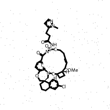 CO[C@H]1/C=C/CCC[S@@](=O)(NC(=O)CCc2ccnn2C)=NC(=O)c2ccc3c(c2)N(C[C@@H]2CC[C@H]21)C[C@@]1(CCCc2cc(Cl)ccc21)CO3